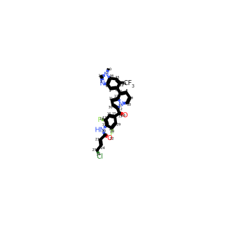 Cn1cnc2cc(-c3cccn4c(C(=O)c5cc(F)c(NC(=O)/C=C/CCl)c(F)c5)ccc34)c(C(F)(F)F)cc21